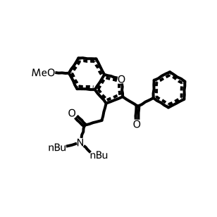 CCCCN(CCCC)C(=O)Cc1c(C(=O)c2ccccc2)oc2ccc(OC)cc12